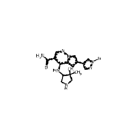 CCn1cc(-c2cc3c(NC4CNCC4(C)C)c(C(N)=O)cnn3c2)cn1